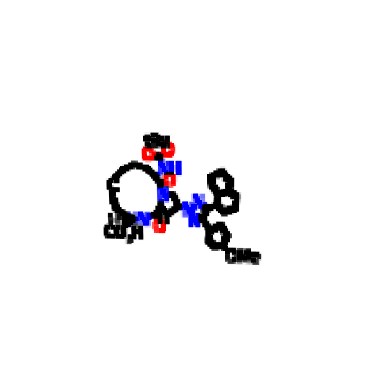 COc1ccc(-c2nn([C@H]3C[C@H]4C(=O)N[C@@]5(C(=O)O)C[C@H]5/C=C\CCCCC[C@@H](NC(=O)OC(C)(C)C)C(=O)N4C3)nc2-c2cccc3ccccc23)cc1